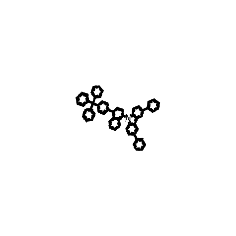 c1ccc(-c2ccc3c(c2)c2cc(-c4ccccc4)ccc2n3-c2ccc(-c3ccc(C(c4ccccc4)(c4ccccc4)c4ccccc4)cc3)c3ccccc23)cc1